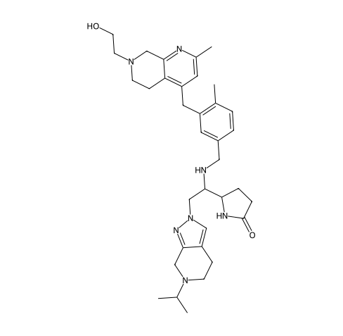 Cc1cc(Cc2cc(CNC(Cn3cc4c(n3)CN(C(C)C)CC4)C3CCC(=O)N3)ccc2C)c2c(n1)CN(CCO)CC2